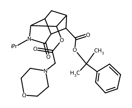 CC(C)N1C(=O)C2C3CC(C(OC(=O)CN4CCOCC4)C31)C2C(=O)OC(C)(C)c1ccccc1